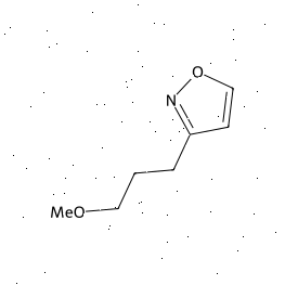 COCCCc1ccon1